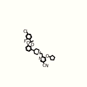 CC1(c2ccc(Cl)cc2F)Oc2cccc(C3CCN(Cc4ncc(C#N)cc4OC4CCCC4)CC3)c2O1